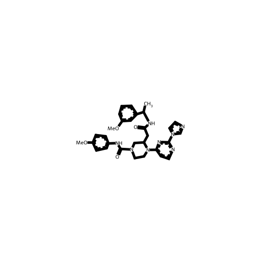 COc1ccc(NC(=O)N2CCN(c3ccnc(-n4ccnc4)n3)C(CC(=O)NC(C)c3cccc(OC)c3)C2)cc1